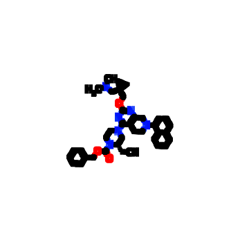 CN(C)CC1(COc2nc3c(c(N4CCN(C(=O)OCc5ccccc5)[C@@H](CC#N)C4)n2)CCN(c2cccc4ccccc24)C3)CC1